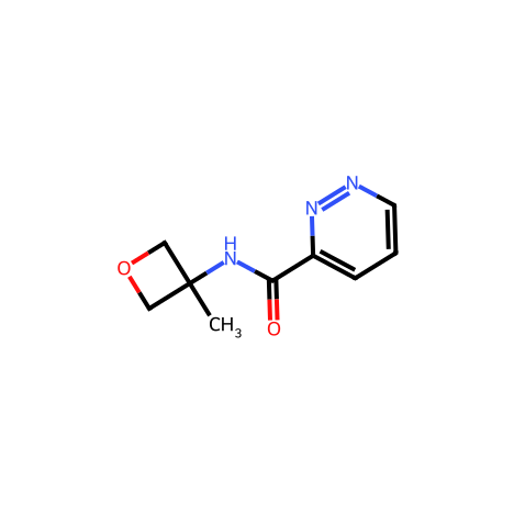 CC1(NC(=O)c2cccnn2)COC1